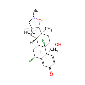 CCC(C)N1C[C@@H]2C[C@H]3[C@@H]4C[C@H](F)C5=CC(=O)C=C[C@]5(C)[C@@]4(F)[C@@H](O)C[C@]3(C)[C@]2(C(=O)O)O1